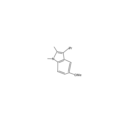 COc1ccc2c(c1)c(C(C)C)c(C)n2C